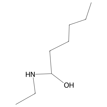 CCCCCC(O)NCC